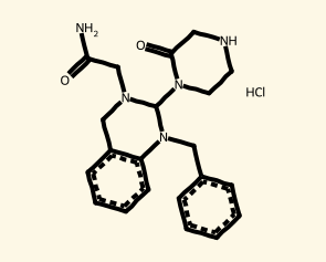 Cl.NC(=O)CN1Cc2ccccc2N(Cc2ccccc2)C1N1CCNCC1=O